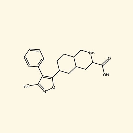 O=C(O)C1CC2CC(c3onc(O)c3-c3ccccc3)CCC2CN1